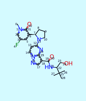 Cn1cc(F)cc([C@H]2CCCN2c2ccn3ncc(C(=O)NC(CO)C(C)(C)C)c3n2)c1=O